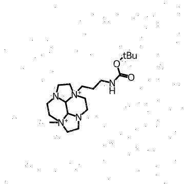 CC(C)(C)OC(=O)NCCC[N+]12CCN3CC[N+]4(C)CCN(CC1)C2C34